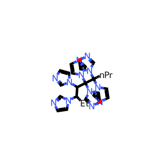 CCCC(n1ccnc1)(n1ccnc1)C(C(C(CC)n1ccnc1)n1ccnc1)(n1ccnc1)n1ccnc1